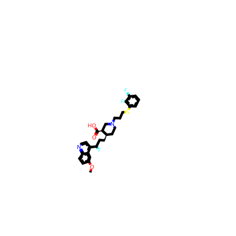 COc1ccc2nccc(C(F)CC[C@@H]3CCN(CCCSc4cccc(F)c4F)C[C@@H]3C(=O)O)c2c1